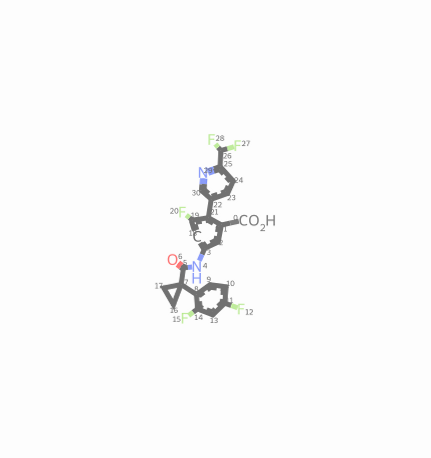 O=C(O)c1cc(NC(=O)C2(c3ccc(F)cc3F)CC2)cc(F)c1-c1ccc(C(F)F)nc1